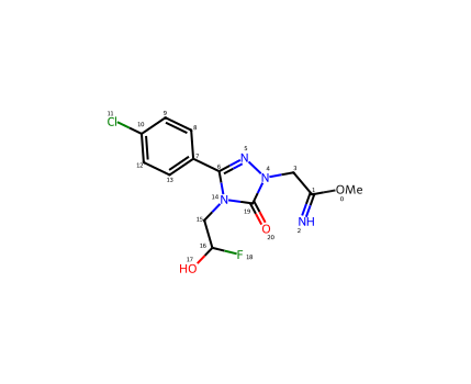 COC(=N)Cn1nc(-c2ccc(Cl)cc2)n(CC(O)F)c1=O